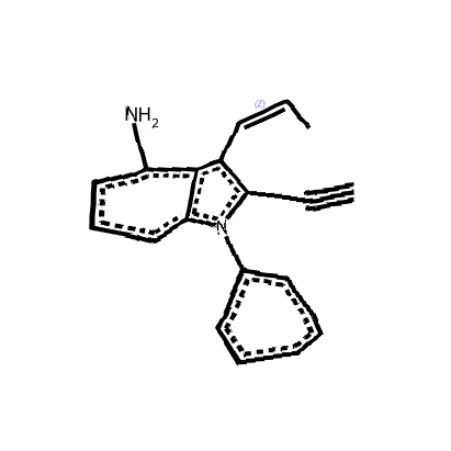 C#Cc1c(/C=C\C)c2c(N)cccc2n1-c1ccccc1